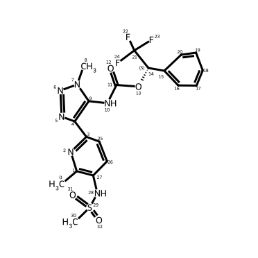 Cc1nc(-c2nnn(C)c2NC(=O)O[C@@H](c2ccccc2)C(F)(F)F)ccc1NS(C)(=O)=O